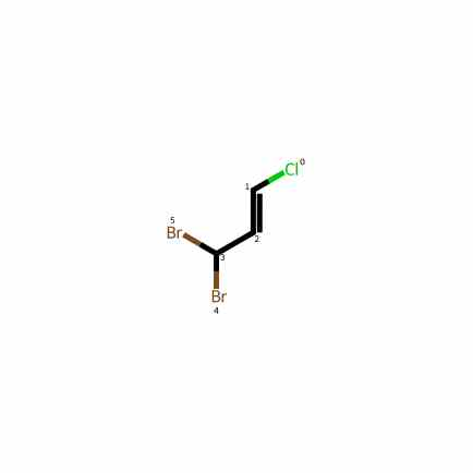 ClC=CC(Br)Br